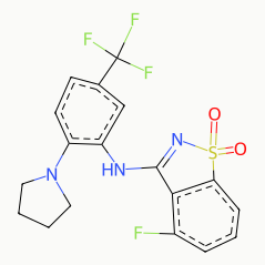 O=S1(=O)N=C(Nc2cc(C(F)(F)F)ccc2N2CCCC2)c2c(F)cccc21